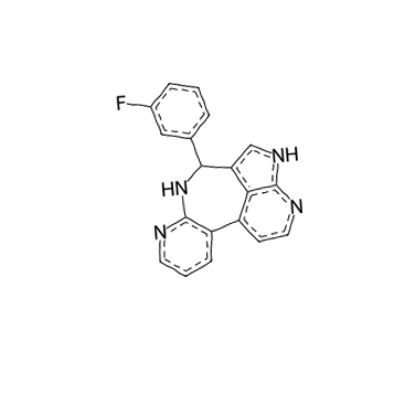 Fc1cccc(C2Nc3ncccc3-c3ccnc4[nH]cc2c34)c1